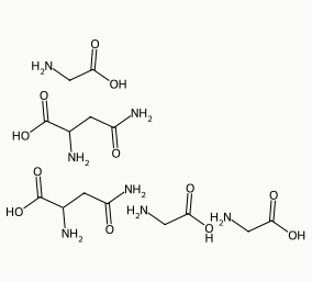 NC(=O)CC(N)C(=O)O.NC(=O)CC(N)C(=O)O.NCC(=O)O.NCC(=O)O.NCC(=O)O